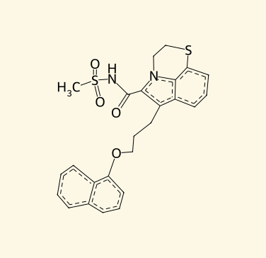 CS(=O)(=O)NC(=O)c1c(CCCOc2cccc3ccccc23)c2cccc3c2n1CCS3